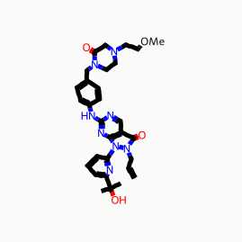 C=CCn1c(=O)c2cnc(Nc3ccc(CN4CCN(CCOC)CC4=O)cc3)nc2n1-c1cccc(C(C)(C)O)n1